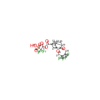 O=C(OC(=O)C(F)(F)S(=O)(=O)O)C12CC3CC(C1)C1(OCC(F)(F)C(F)(F)CO1)C(C3)C2